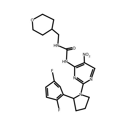 O=C(NCC1CCOCC1)Nc1nc(N2CCCC2c2cc(F)ccc2F)ncc1[N+](=O)[O-]